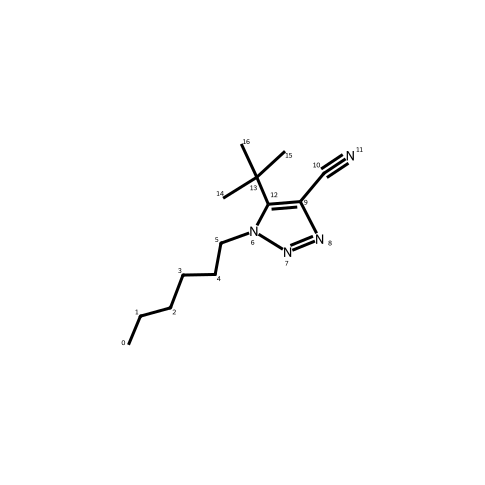 CCCCCCn1nnc(C#N)c1C(C)(C)C